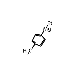 C[CH2][Mg][c]1ccc(C)cc1